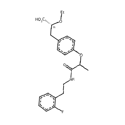 CCO[C@H](Cc1ccc(OC(C)C(=O)NCCc2ccccc2F)cc1)C(=O)O